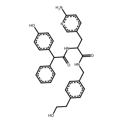 Nc1ccc(CC(NC(=O)C(c2ccccc2)c2ccc(O)cc2)C(=O)NCc2ccc(CCO)cc2)cn1